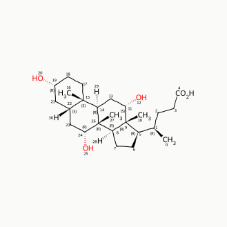 C[C@H](CCC(=O)O)[C@H]1CC[C@@H]2[C@]1(C)[C@@H](O)C[C@@H]1[C@@]3(C)CC[C@@H](O)C[C@H]3C[C@@H](O)[C@@]21C